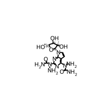 C[C@@]1(O)[C@H](O)[C@@H](CO)O[C@H]1n1ccc2c(N(N)C(N)=O)nc(N(N)C(N)=O)nc21